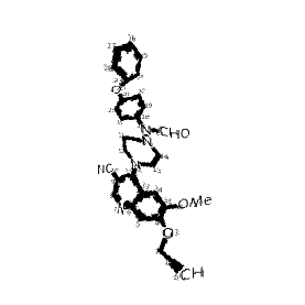 C#CCOc1cc2ncc(C#N)c(N3CCN(N(C=O)c4ccc(Oc5ccccc5)cc4)CC3)c2cc1OC